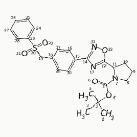 CC(C)(C)OC(=O)N1CCCC1c1nc(-c2ccc(CS(=O)(=O)c3ccccc3)cc2)no1